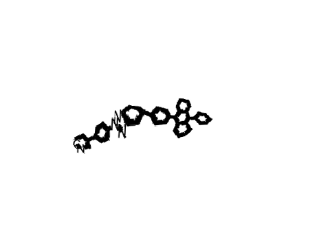 c1ccc(-c2c3ccccc3c(-c3ccc(-c4ccc5nn(-c6ccc(-c7cccnc7)cc6)nc5c4)cc3)c3ccccc23)cc1